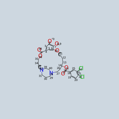 COc1cc2cc(c1OC)OCCCC(OC(=O)c1ccc(Cl)c(Cl)c1)CCN1CCCN(CCCOC2=O)CC1